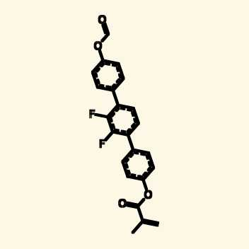 C=C(C)C(=O)Oc1ccc(-c2ccc(-c3ccc(OC=O)cc3)c(F)c2F)cc1